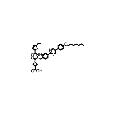 CCCCCCCOc1ccc(-c2cnc(-c3ccc(C[C@H](NC(=O)c4ccc(CC)s4)C(=O)N4CC(C(=O)O)C4)cc3)nc2)cc1